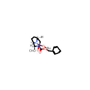 CC(C)(C)OC(=O)N1[C@H]2CC[C@@H]1[C@H](C=O)N(C(=O)OCc1ccccc1)C2